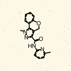 Cc1cccc(NC(=O)c2nn(C)c3c2COc2ccccc2-3)n1